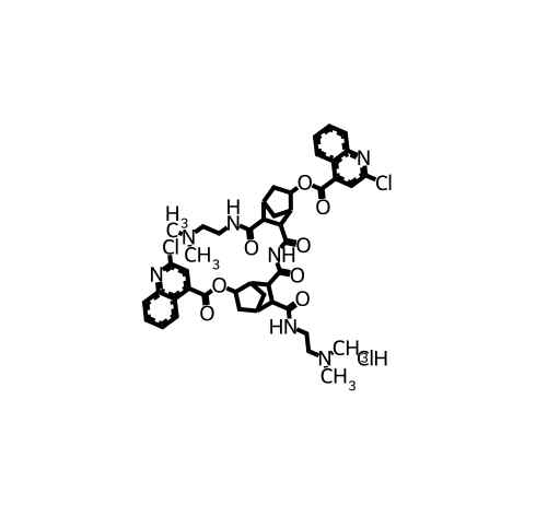 CN(C)CCNC(=O)C1C2CC(OC(=O)c3cc(Cl)nc4ccccc34)C(C2)C1C(=O)NC(=O)C1C2CC(CC2OC(=O)c2cc(Cl)nc3ccccc23)C1C(=O)NCCN(C)C.Cl